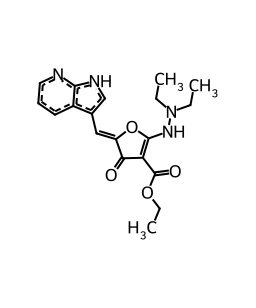 CCOC(=O)C1=C(NN(CC)CC)OC(=Cc2c[nH]c3ncccc23)C1=O